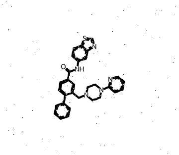 O=C(Nc1ccc2scnc2c1)C1=C=C=C(c2ccccc2)C(CN2CCN(c3ccccn3)CC2)=C1